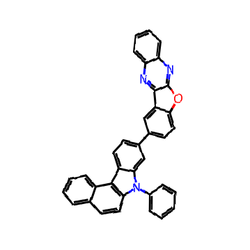 c1ccc(-n2c3cc(-c4ccc5oc6nc7ccccc7nc6c5c4)ccc3c3c4ccccc4ccc32)cc1